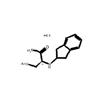 CC(=O)OC[C@H](NC1Cc2ccccc2C1)C(N)=O.Cl